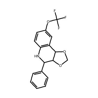 FC(F)(F)Oc1ccc2c(c1)C1OCOC1C(c1ccccc1)N2